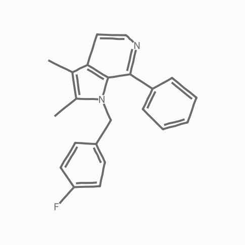 Cc1c(C)n(Cc2ccc(F)cc2)c2c(-c3ccccc3)nccc12